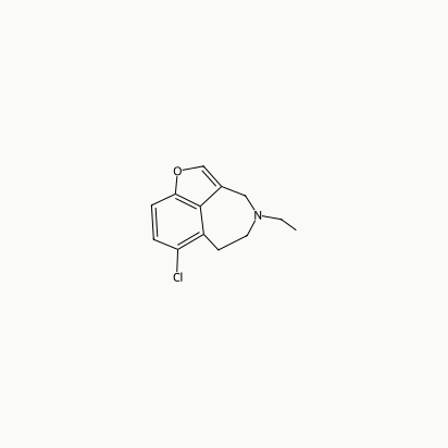 CCN1CCc2c(Cl)ccc3occ(c23)C1